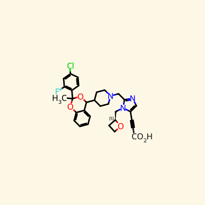 CC1(c2ccc(Cl)cc2F)Oc2ccccc2C(C2CCN(Cc3ncc(C#CC(=O)O)n3C[C@@H]3CCO3)CC2)O1